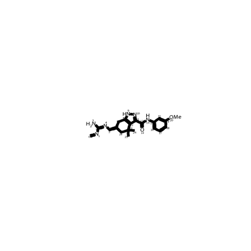 C=N/C(N)=N\C=C1/Cc2[nH]nc(C(=O)Nc3cccc(OC)c3)c2C(C)(C)C1